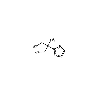 CC(CO)(CO)n1cccn1